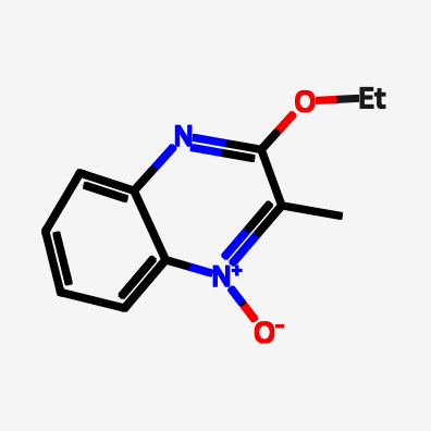 CCOc1nc2ccccc2[n+]([O-])c1C